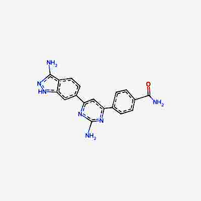 NC(=O)c1ccc(-c2cc(-c3ccc4c(N)n[nH]c4c3)nc(N)n2)cc1